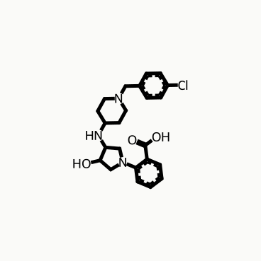 O=C(O)c1ccccc1N1CC(O)C(NC2CCN(Cc3ccc(Cl)cc3)CC2)C1